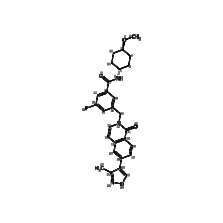 CO[C@H]1CC[C@H](NC(=O)c2cc(F)cc(Cn3ccc4cc(-c5conc5C)ccc4c3=O)c2)CC1